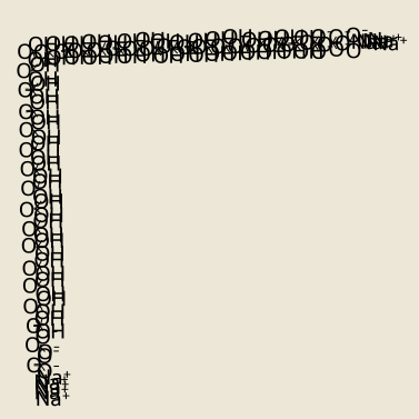 O=C(O)O.O=C(O)O.O=C(O)O.O=C(O)O.O=C(O)O.O=C(O)O.O=C(O)O.O=C(O)O.O=C(O)O.O=C(O)O.O=C(O)O.O=C(O)O.O=C(O)O.O=C(O)O.O=C(O)O.O=C(O)O.O=C(O)O.O=C(O)O.O=C(O)O.O=C(O)O.O=C(O)O.O=C(O)O.O=C(O)O.O=C(O)O.O=C(O)O.O=C(O)O.O=C(O)O.O=C(O)O.O=C(O)O.O=C(O)O.O=C([O-])[O-].O=C([O-])[O-].O=C([O-])[O-].O=C([O-])[O-].O=C([O-])[O-].[Na+].[Na+].[Na+].[Na+].[Na+].[Na+].[Na+].[Na+].[Na+].[Na+]